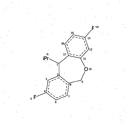 CC(C)C1c2cc(F)ccc2COc2cc(F)ccc21